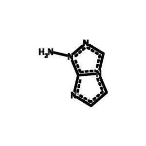 Nn1ncn2ccnc12